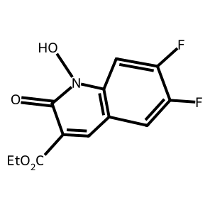 CCOC(=O)c1cc2cc(F)c(F)cc2n(O)c1=O